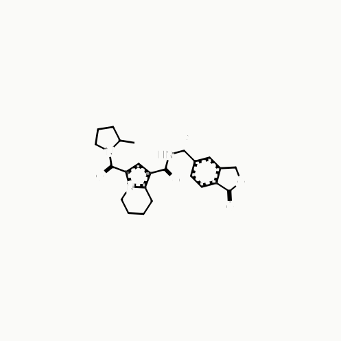 CC1CCCN1C(=O)c1cc(C(=O)N[C@H](C)c2ccc3c(c2)COC3=O)c2n1CCCC2